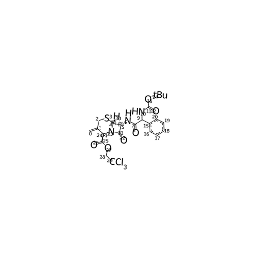 C=C1CS[C@@H]2[C@H](NC(=O)C(NC(=O)OC(C)(C)C)c3ccccc3)C(=O)N2[C@H]1C(=O)OCC(Cl)(Cl)Cl